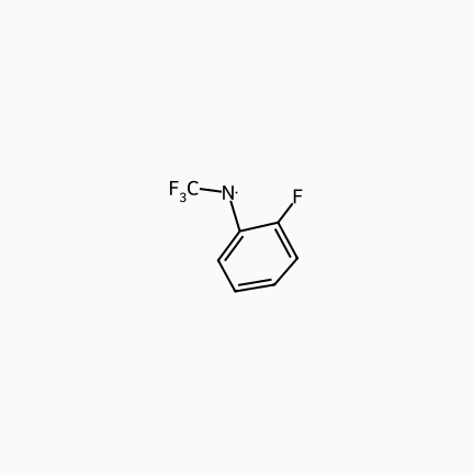 Fc1ccccc1[N]C(F)(F)F